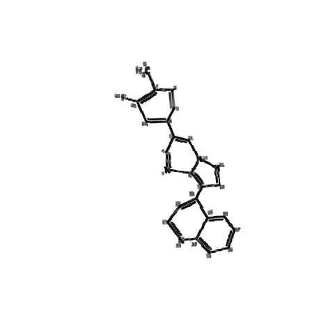 Cc1ccc(-c2cnc3c(-c4ccnc5ccccc45)cnn3c2)cc1F